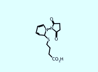 O=C(O)CCCSC1C=CC=CN1N1C(=O)CCC1=O